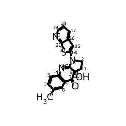 Cc1ccc2c(c1)C(=O)[C@]1(O)CCN(c3cc4cccnc4s3)C1=N2